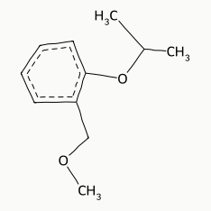 COCc1ccccc1OC(C)C